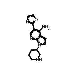 Nc1c(-c2ncco2)cnc2c1ccn2[C@@H]1CCCNC1